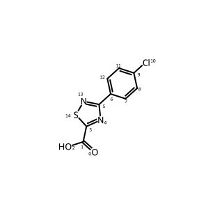 O=C(O)c1nc(-c2ccc(Cl)cc2)ns1